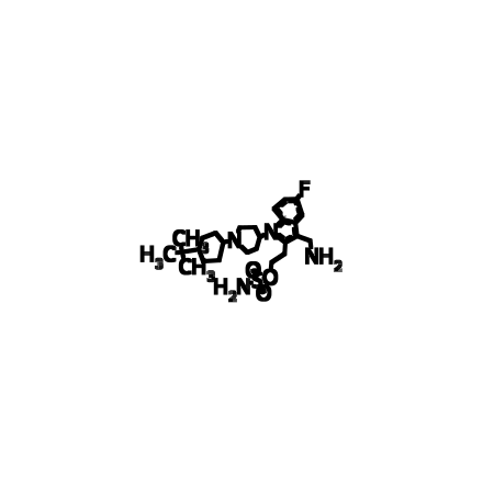 CC(C)(C)C1CCC(N2CCC(n3c(CCOS(N)(=O)=O)c(CN)c4cc(F)ccc43)CC2)CC1